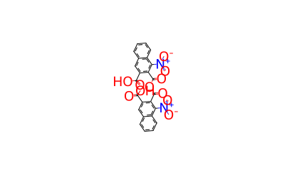 O=C(O)c1cc2ccccc2c([N+](=O)[O-])c1C(=O)OC(=O)c1c(C(=O)O)cc2ccccc2c1[N+](=O)[O-]